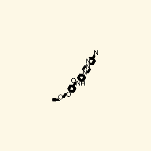 C#CCOCCOc1ccc(C(=O)Nc2ccc(N3CCN(c4ccc(C#N)cn4)CC3)cc2)cc1